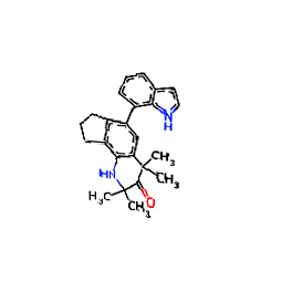 CC1(C)Nc2c(cc(-c3cccc4cc[nH]c34)c3c2CCC3)C(C)(C)C1=O